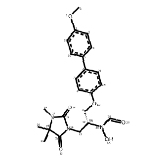 COc1ccc(-c2ccc(OC[C@@H](CN3C(=O)N(C)C(C)(C)C3=O)N(O)C=O)cc2)cc1